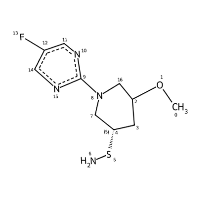 COC1C[C@H](SN)CN(c2ncc(F)cn2)C1